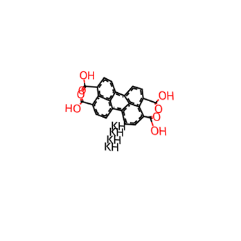 O=C(O)c1ccc2c3ccc(C(=O)O)c4c(C(=O)O)ccc(c5ccc(C(=O)O)c1c25)c43.[KH].[KH].[KH].[KH]